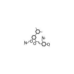 COc1ccc(/C=C/C(=O)c2cc(-c3cc(C)cc(C)c3)ccc2OCCN(C)C)c(CN(C)C)c1